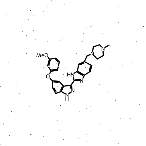 COc1cccc(Oc2ccc3[nH]nc(-c4nc5ccc(CN6CCN(C)CC6)cc5[nH]4)c3c2)c1